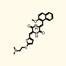 COc1ccc2ccccc2c1C=c1[nH]c(=O)c(=Cc2ccc(SCCN(C)C)s2)[nH]c1=O